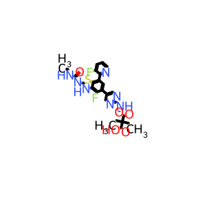 CCNC(=O)Nc1nc2c(F)c(-c3cnc(NOC(=O)C(CC)(CC)C(=O)O)nc3)cc(-c3ncccc3F)c2s1